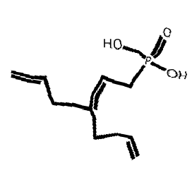 C=CCC(=CCP(=O)(O)O)CC=C